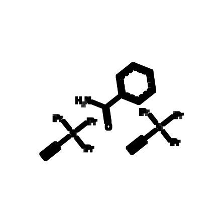 C#C[Si](C(C)C)(C(C)C)C(C)C.C#C[Si](C(C)C)(C(C)C)C(C)C.NC(=O)c1ccccc1